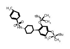 Cc1ccc(S(=O)(=O)N[C@H]2CC[C@H](c3ccc(O[Si](C)(C)C(C)(C)C)cc3O[Si](C)(C)C(C)(C)C)CC2)cc1